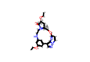 CCOc1cc2cc(c1)-c1cnn3ccc(nc13)OC[C@@H]1C[C@@H](OCC)C(=O)N1CCN2